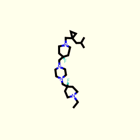 CCN1CCC(F)(CN2CCN(CC3(F)CCN(CC4(CC(C)C)CC4)CC3)CC2)CC1